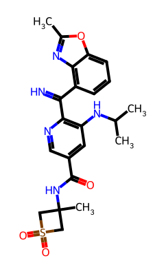 Cc1nc2c(C(=N)c3ncc(C(=O)NC4(C)CS(=O)(=O)C4)cc3NC(C)C)cccc2o1